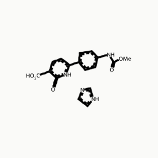 COC(=O)Nc1ccc(-c2ccc(C(=O)O)c(=O)[nH]2)cc1.c1c[nH]cn1